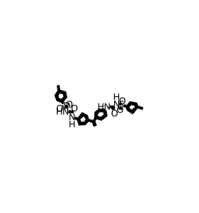 C=C(c1ccc(NC(=O)NS(=O)(=O)c2ccc(C)cc2)cc1)c1ccc(NC(=O)NS(=O)(=O)c2ccc(C)cc2)cc1